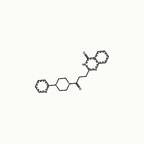 O=C(CCc1nc2ccccc2c(=O)[nH]1)N1CCN(c2ccccn2)CC1